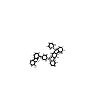 Fc1cccc2c1sc1c(-c3ccc(-n4c5ccccc5c5cc6c7ccccc7n(-c7ccccc7)c6cc54)cc3)cccc12